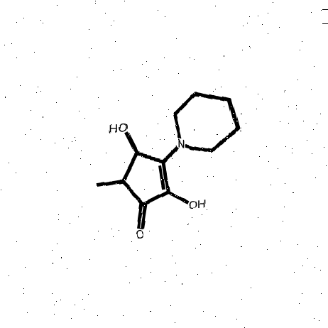 CC1C(=O)C(O)=C(N2CCCCC2)C1O